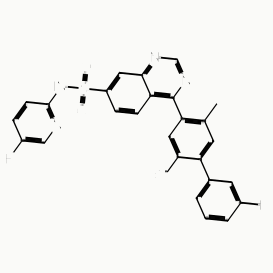 Cc1cc(-c2cccc(F)c2)c(Cl)cc1-c1ncnc2cc(S(=O)(=O)Nc3ccc(F)cn3)ccc12